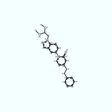 COC(Cn1ncc2cc(-n3ccc(CCc4ccccc4)cc3=O)ccc21)OC